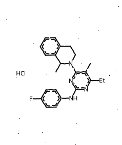 CCc1nc(Nc2ccc(F)cc2)nc(N2CCc3ccccc3C2C)c1C.Cl